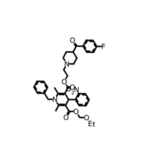 CCOCOC(=O)C1=C(C)N(Cc2ccccc2)C(C)=C(C(=O)OCCN2CCC(C(=O)c3ccc(F)cc3)CC2)C1c1ccccc1[N+](=O)[O-]